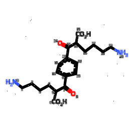 NCCCCC(C(=O)O)C(=O)c1ccc(C(=O)C(CCCCN)C(=O)O)cc1